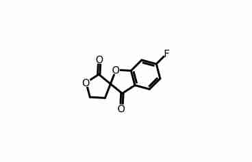 O=C1OCCC12Oc1cc(F)ccc1C2=O